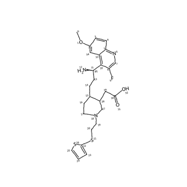 COc1ccc2ncc(F)c([C@H](N)CCC3CCN(CCSc4cccs4)CC3CC(=O)O)c2c1